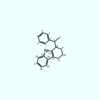 CC(c1ccccc1)C1CCCC2=C1[N]c1ccccc12